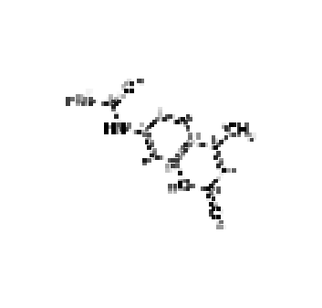 CCCCC(=O)Nc1ccc2c(C)cc(=O)oc2c1